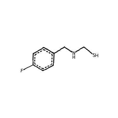 Fc1ccc(CNCS)cc1